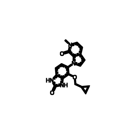 Cn1ccc2ccn(-c3ccc4[nH]c(=O)[nH]c4c3OCC3CC3)c2c1=O